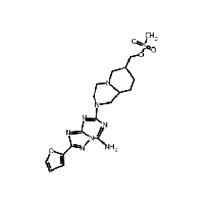 CS(=O)(=O)OCC1CCC2CN(c3nc(N)n4nc(-c5ccco5)nc4n3)CCN2C1